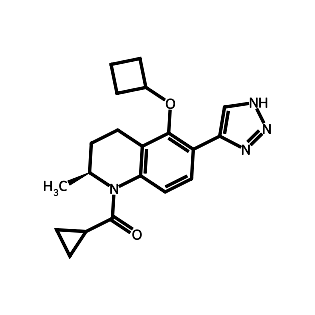 C[C@H]1CCc2c(ccc(-c3c[nH]nn3)c2OC2CCC2)N1C(=O)C1CC1